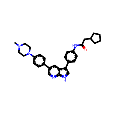 CN1CCN(c2ccc(-c3cnc4[nH]cc(-c5ccc(NC(=O)CC6CCCC6)cc5)c4c3)cc2)CC1